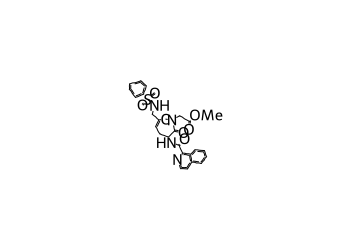 COC(=O)CN1CC(CNS(=O)(=O)c2ccccc2)=CCC(NC(=O)c2nccc3ccccc23)C1=O